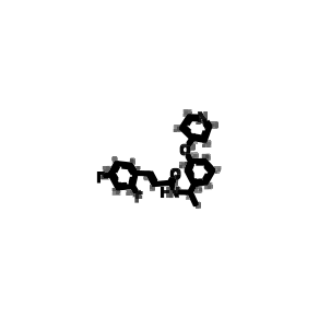 CC(NC(=O)C=Cc1ccc(F)cc1F)c1cccc(Oc2ccncc2)c1